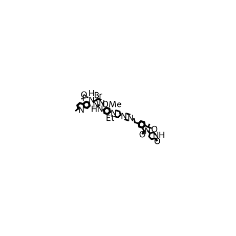 CCc1cc(Nc2ncc(Br)c(Nc3ccc4nc(C)ccc4c3P(C)(C)=O)n2)c(OC)cc1N1CCC(N2CCN(CCc3ccc4c(c3)C(=O)N(C3CCC(=O)NC3=O)C4(C)C)CC2)CC1